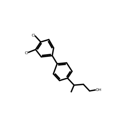 CC(CCO)c1ccc(-c2ccc(Cl)c(Cl)c2)cc1